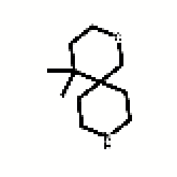 CC1(C)CCOCC12CCNCC2